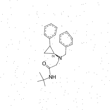 CC(C)(C)NC(=O)CN(Cc1ccccc1)[C@H]1CC1c1ccccc1